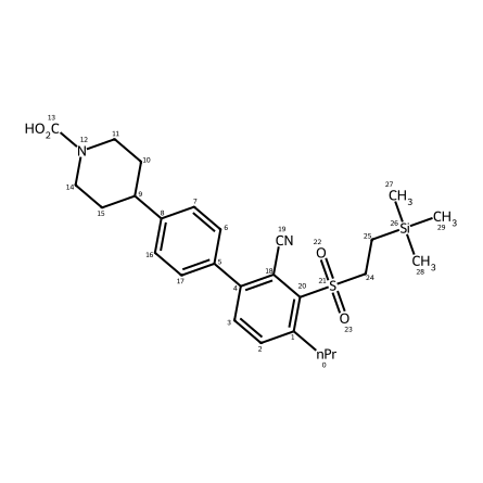 CCCc1ccc(-c2ccc(C3CCN(C(=O)O)CC3)cc2)c(C#N)c1S(=O)(=O)CC[Si](C)(C)C